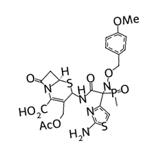 COc1ccc(CON2C(C(=O)NC3S[C@@H]4CC(=O)N4C(C(=O)O)=C3COC(C)=O)(c3csc(N)n3)P2(C)=O)cc1